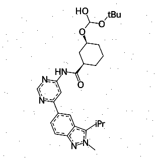 CC(C)c1c2cc(-c3cc(NC(=O)[C@@H]4CCC[C@H](OC(O)OC(C)(C)C)C4)ncn3)ccc2nn1C